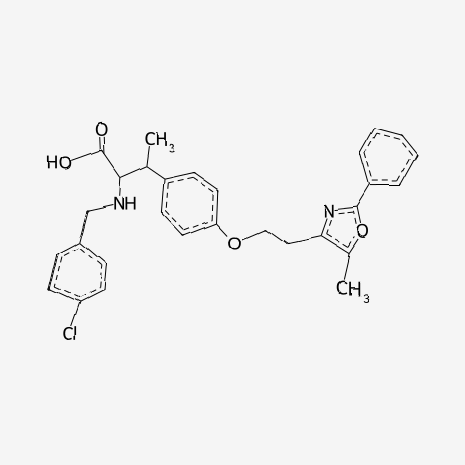 Cc1oc(-c2ccccc2)nc1CCOc1ccc(C(C)C(NCc2ccc(Cl)cc2)C(=O)O)cc1